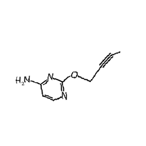 CC#CCOc1nccc(N)n1